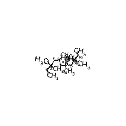 CCC(C)(C)CC(C)C[PH](C)(C)CC(C)(C)CC